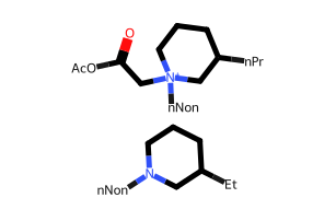 CCCCCCCCCN1CCCC(CC)C1.CCCCCCCCC[N+]1(CC(=O)OC(C)=O)CCCC(CCC)C1